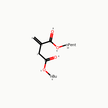 C=C(CC(=O)OCCCC)C(=O)OCCCCC